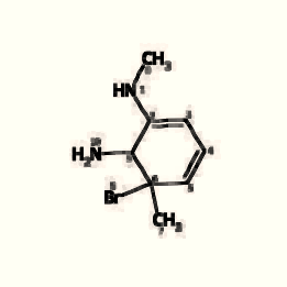 CNC1=CC=CC(C)(Br)C1N